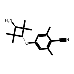 Cc1cc(O[C@H]2C(C)(C)[C@H](N)C2(C)C)cc(C)c1C#N